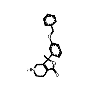 CC1(c2cccc(OCc3ccccc3)c2)OC(=O)C2=C1CNCC2